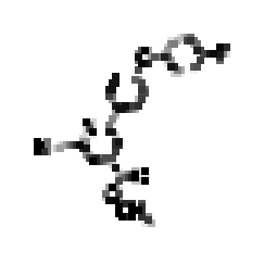 COC(=O)c1cc(C#N)nc(-c2ccc(Oc3ccc(F)cc3)cc2)c1